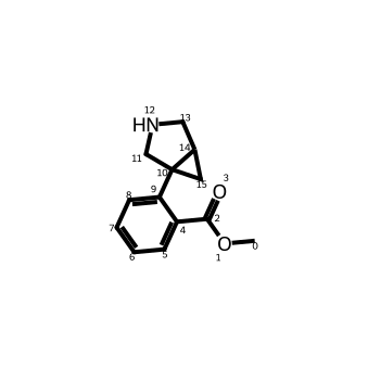 COC(=O)c1ccccc1C12CNCC1C2